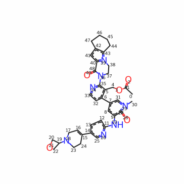 CC(=O)OCc1c(-c2cc(Nc3ccc(C4=CCN(C5COC5)CC4)cn3)c(=O)n(C)c2)ccnc1N1CCn2c(cc3c2CCCC3)C1=O